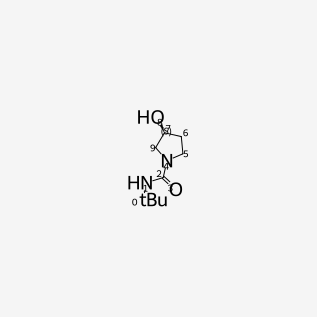 CC(C)(C)NC(=O)N1CC[C@H](O)C1